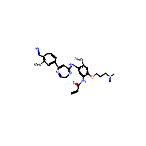 C=CC(=O)Nc1cc(NC2=NCC=NC(C3=CC(NC)=C(C=N)CC=C3)=C2)c(OC)cc1OCCCN(C)C